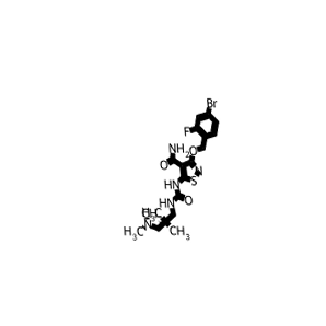 CN(C)CC(C)(C)CNC(=O)Nc1snc(OCc2ccc(Br)cc2F)c1C(N)=O